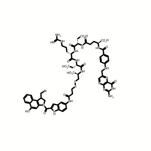 N=C(N)NCCC[C@H](NC(=O)[C@H](CC(=O)O)NC(=O)CC[C@H](NC(=O)c1ccc(NCc2cnc3nc(N)[nH]c(=O)c3n2)cc1)C(=O)O)C(=O)N[C@@H](CC(=O)O)C(=O)N[C@@H](CSSCCC(=O)Nc1ccc2[nH]c(C(=O)N3CC(CBr)c4c3cc(O)c3ccccc43)cc2c1)C(=O)O